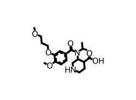 COCCCOc1cc(C(=O)N(C(C)C)C2CNCCC2C(=O)O)ccc1OC